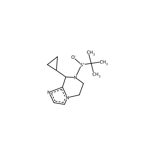 CC(C)(C)[S+]([O-])N1CCn2ccnc2C1C1CC1